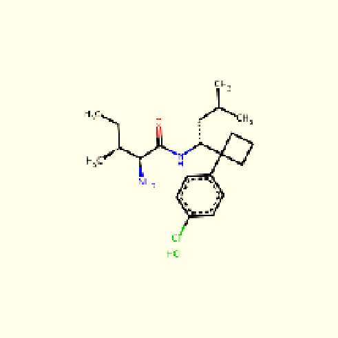 CC[C@H](C)[C@H](N)C(=O)N[C@H](CC(C)C)C1(c2ccc(Cl)cc2)CCC1.Cl